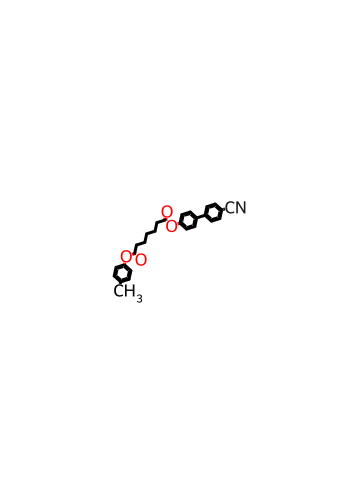 Cc1ccc(OC(=O)CCCCCC(=O)Oc2ccc(-c3ccc(C#N)cc3)cc2)cc1